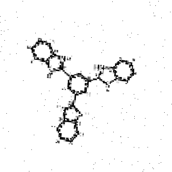 c1ccc2c(c1)NC(c1cc(-c3nc4ccccc4s3)cc(-c3nc4ccccc4s3)c1)S2